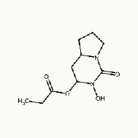 CCC(=O)OC1CC2CCCN2C(=O)N1O